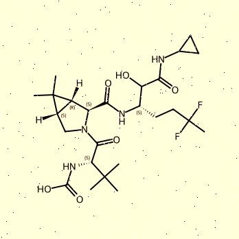 CC(F)(F)CC[C@H](NC(=O)[C@@H]1[C@@H]2[C@H](CN1C(=O)[C@@H](NC(=O)O)C(C)(C)C)C2(C)C)C(O)C(=O)NC1CC1